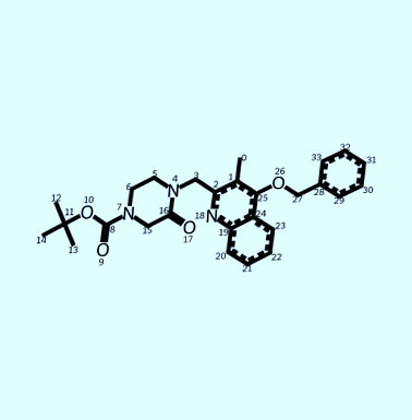 Cc1c(CN2CCN(C(=O)OC(C)(C)C)CC2=O)nc2ccccc2c1OCc1ccccc1